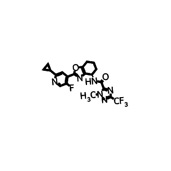 Cn1nc(C(F)(F)F)nc1C(=O)N[C@H]1CCCc2oc(-c3cc(C4CC4)ncc3F)nc21